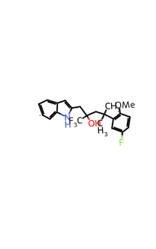 COc1ccc(F)cc1C(C)(C)CC(O)(Cc1cc2cc[c]cc2[nH]1)C(F)(F)F